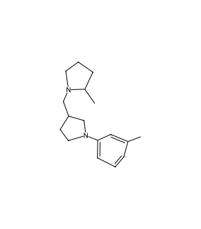 Cc1[c]ccc(N2CCC(CN3CCCC3C)C2)c1